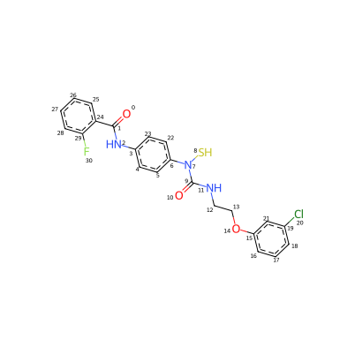 O=C(Nc1ccc(N(S)C(=O)NCCOc2cccc(Cl)c2)cc1)c1ccccc1F